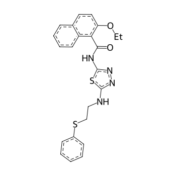 CCOc1ccc2ccccc2c1C(=O)Nc1nnc(NCCSc2ccccc2)s1